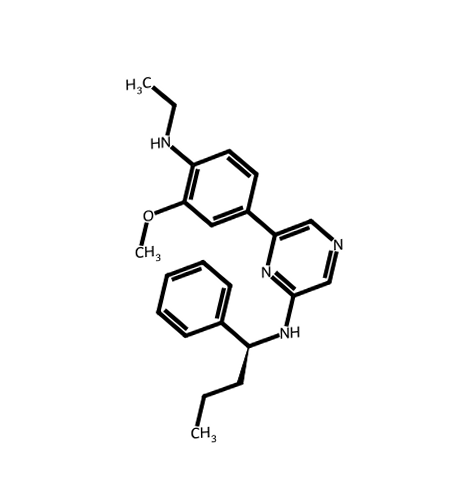 CCC[C@H](Nc1cncc(-c2ccc(NCC)c(OC)c2)n1)c1ccccc1